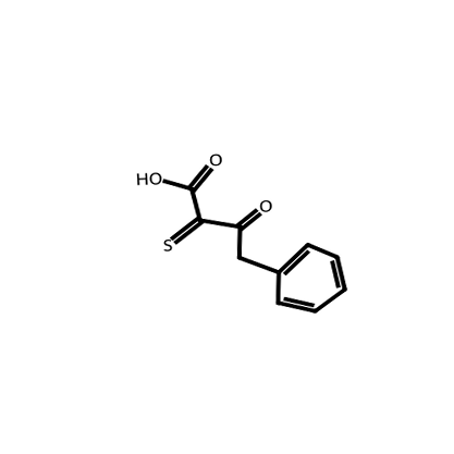 O=C(O)C(=S)C(=O)Cc1ccccc1